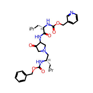 CC(C)C[C@@H](CN1CC(=O)C(NC(=O)[C@H](CC(C)C)NC(=O)OCc2cccnc2)C1)NC(=O)OCc1ccccc1